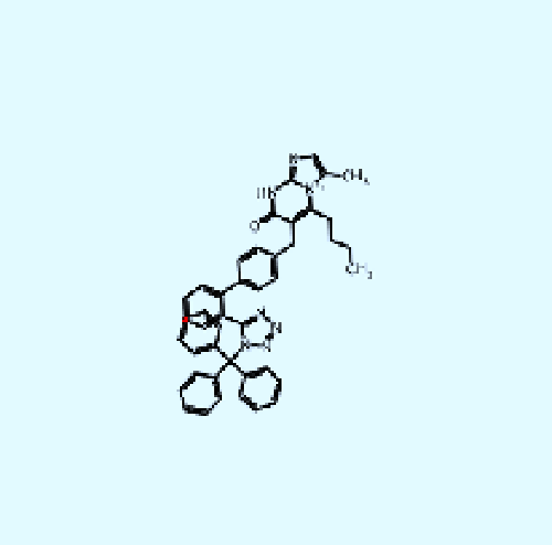 CCCCC1=C(Cc2ccc(-c3ccccc3-c3nnnn3C(c3ccccc3)(c3ccccc3)c3ccccc3)cc2)C(=O)NC2=NC=C(C)[N+]21